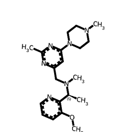 COc1cccnc1[C@H](C)N(C)Cc1cc(N2CCN(C)CC2)nc(C)n1